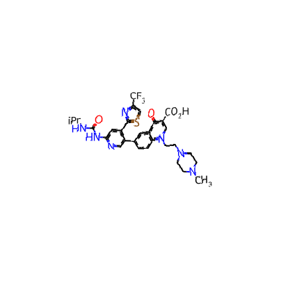 CC(C)NC(=O)Nc1cc(-c2nc(C(F)(F)F)cs2)c(-c2ccc3c(c2)c(=O)c(C(=O)O)cn3CCN2CCN(C)CC2)cn1